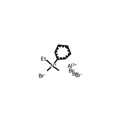 CC[N+](C)(C)c1ccccc1.[Al+3].[Br-].[Br-].[Br-].[Br-]